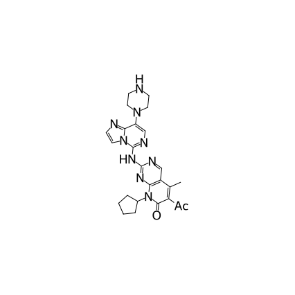 CC(=O)c1c(C)c2cnc(Nc3ncc(N4CCNCC4)c4nccn34)nc2n(C2CCCC2)c1=O